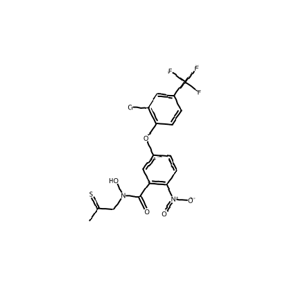 CC(=S)CN(O)C(=O)c1cc(Oc2ccc(C(F)(F)F)cc2Cl)ccc1[N+](=O)[O-]